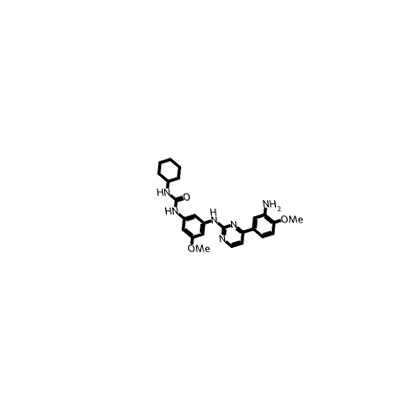 COc1cc(NC(=O)NC2CCCCC2)cc(Nc2nccc(-c3ccc(OC)c(N)c3)n2)c1